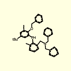 Cc1cc(C(C)(C)C)cc(Pc2c(C)cccc2CN(Cc2ccccc2)Cc2ccccc2)c1OCc1ccccc1